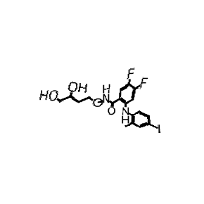 Cc1cc(I)ccc1Nc1cc(F)c(F)cc1C(=O)NOCCC(O)CO